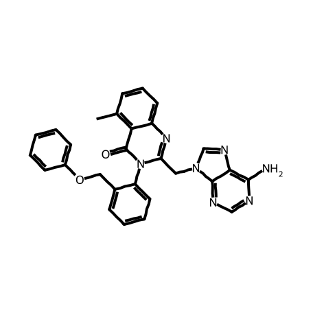 Cc1cccc2nc(Cn3cnc4c(N)ncnc43)n(-c3ccccc3COc3ccccc3)c(=O)c12